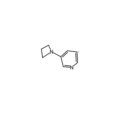 [c]1cncc(N2CCC2)c1